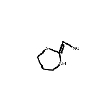 O=NC=C1NCCCS1